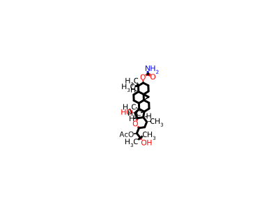 CC(=O)O[C@@H](C1C[C@@H](C)[C@H]2[C@H](O1)[C@H](O)[C@@]1(C)C3CC[C@H]4C(C)(C)[C@@H](OC(N)=O)CCC45C[C@@]35CC[C@]21C)C(C)(C)O